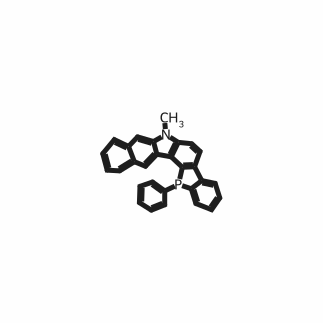 Cn1c2cc3ccccc3cc2c2c1ccc1c3ccccc3p(-c3ccccc3)c12